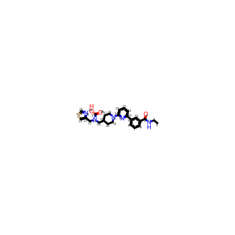 CCNC(=O)c1cccc(-c2cccc(N3CCC(CN(Cc4cscn4)C(=O)O)CC3)n2)c1